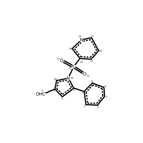 O=Cc1cc(-c2ccccc2)n(S(=O)(=O)c2cccnc2)c1